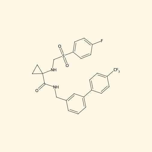 O=C(NCc1cccc(-c2ccc(C(F)(F)F)cc2)c1)C1(NCS(=O)(=O)c2ccc(F)cc2)CC1